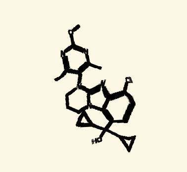 COc1nc(C)c(N2CCCn3c2nc2c(Cl)ccc(C(O)(C4CC4)C4CC4)c23)c(C)n1